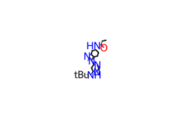 C=CC(=O)Nc1ccc2c(c1)ncn2-c1cc(NC(C)(C)C)ncn1